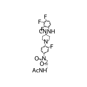 [C-]#[N+]C1(Nc2ccc(F)c(F)c2F)CCN(c2ccc(N3C[C@H](CNC(C)=O)OC3=O)cc2F)CC1